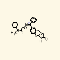 CN(C(=O)CO/N=C(/c1ccccc1)c1ccc2c(c1)CN1CC(=O)NC1=N2)C1CCCCC1